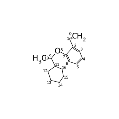 C=Cc1ccccc1OC(C)C1CCCCC1